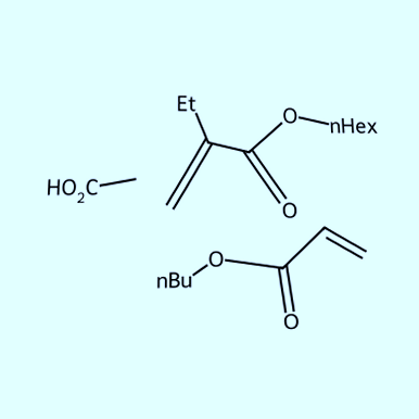 C=C(CC)C(=O)OCCCCCC.C=CC(=O)OCCCC.CC(=O)O